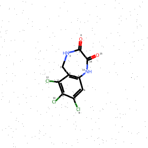 O=C1NCc2c(cc(Cl)c(Cl)c2Cl)NC1=O